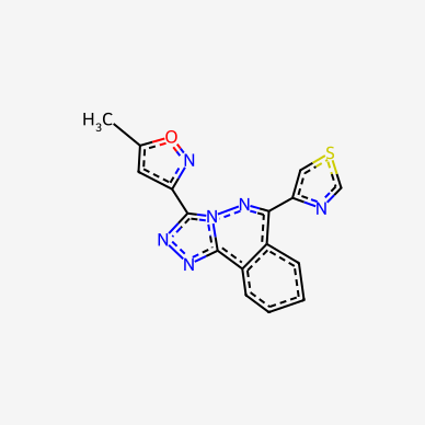 Cc1cc(-c2nnc3c4ccccc4c(-c4cscn4)nn23)no1